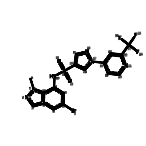 Cn1ncc2cc(Br)cc(NS(=O)(=O)c3cnn(-c4ccnc(C(F)(F)F)c4)c3)c21